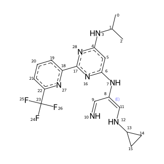 CC(C)Nc1cc(N/C(C=N)=C/NC2CC2)nc(-c2cccc(C(F)(F)F)n2)n1